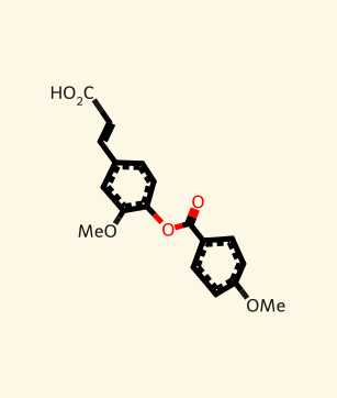 COc1ccc(C(=O)Oc2ccc(C=CC(=O)O)cc2OC)cc1